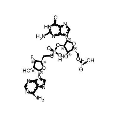 Nc1nc2c(ncn2[C@@H]2O[C@H](CO[PH](=O)O)[C@@H](O)[C@H]2OP(=O)(O)OC[C@H]2O[C@@H](n3cnc4c(N)ncnc43)[C@H](O)[C@@H]2F)c(=O)[nH]1